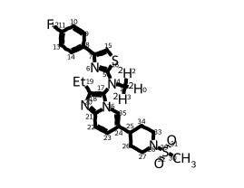 [2H]C([2H])([2H])N(c1nc(-c2ccc(F)cc2)cs1)c1c(CC)nc2ccc(C3CCN(S(C)(=O)=O)CC3)cn12